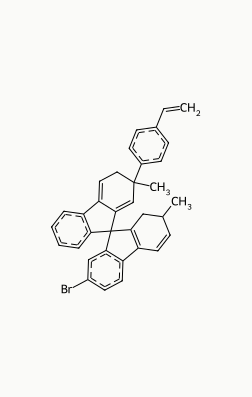 C=Cc1ccc(C2(C)C=C3C(=CC2)c2ccccc2C32C3=C(C=CC(C)C3)c3ccc(Br)cc32)cc1